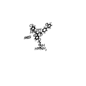 Cl.Cl.N=C(N)NOCCOc1ccc2oc(C(=O)Nc3ccc(Cl)cn3)c(NC(=O)[C@H]3CC[C@H](N4CCCC4=O)CC3)c2c1